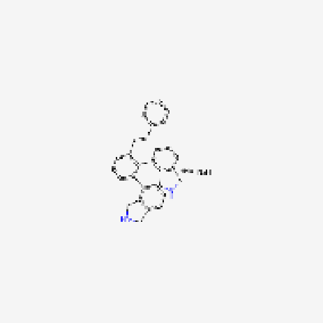 C(=Cc1cccc(-c2cccc3c2CNC3)c1-c1cccc2c1CNC2)c1ccccc1.[NaH].[NaH]